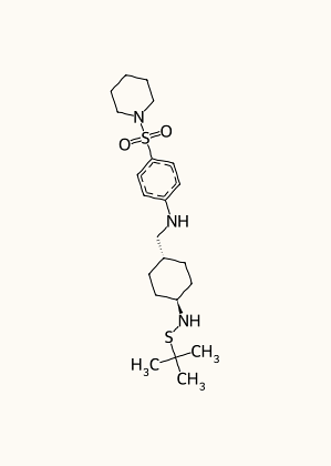 CC(C)(C)SN[C@H]1CC[C@H](CNc2ccc(S(=O)(=O)N3CCCCC3)cc2)CC1